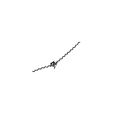 CCCCCCCCCCCCCCCCCCCn1cc[n+](CCCCCCCCCCCC)c1CC